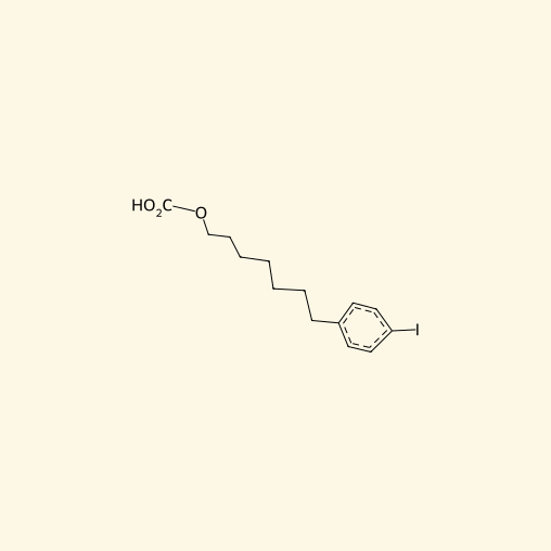 O=C(O)OCCCCCCCc1ccc(I)cc1